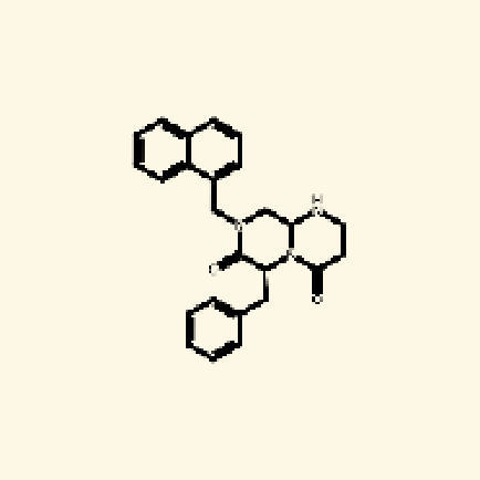 O=C1[C@H](Cc2ccccc2)N2C(=O)CCNC2CN1Cc1cccc2ccccc12